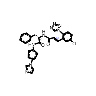 O=C(/C=C/c1cc(Cl)ccc1-n1cnnn1)N[C@@H](Cc1ccccc1)C(=O)Nc1ccc(-n2ccnc2)cc1